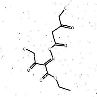 CCOC(=O)C(=NOC(=O)CC(=O)CCl)C(=O)CCl